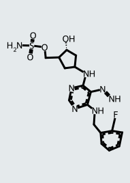 N=Nc1c(NCc2ccccc2F)ncnc1NC1CC(COS(N)(=O)=O)[C@H](O)C1